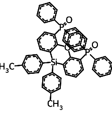 Cc1ccc([Si]2(c3ccc(C)cc3)c3cccc(P(=O)(c4ccccc4)c4ccccc4)c3Oc3c2cccc3P(=O)(c2ccccc2)c2ccccc2)cc1